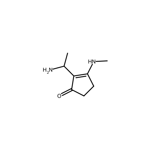 CNC1=C(C(C)N)C(=O)CC1